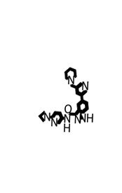 O=C(Nc1ccc(N2CCC2)nc1)c1n[nH]c2ccc(-c3cncc(CN4CCCCC4)c3)cc12